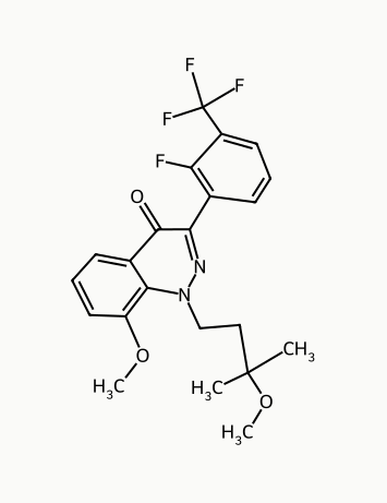 COc1cccc2c(=O)c(-c3cccc(C(F)(F)F)c3F)nn(CCC(C)(C)OC)c12